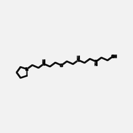 OCCNCCNCCOCCNCCN1CCCC1